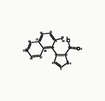 O=C(Cl)c1sccc1-c1c(F)ccc2cnccc12